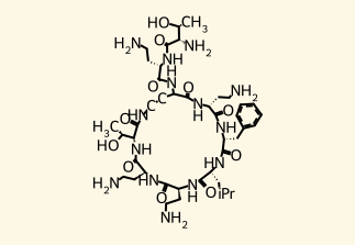 CC(C)C[C@H]1NC(=O)[C@@H](Cc2ccccc2)NC(=O)[C@@H](CCN)NC(=O)C(NC(=O)[C@H](CCN)NC(=O)[C@@H](N)[C@@H](C)O)CCNC(=O)[C@@H]([C@H](C)O)NC(=O)[C@H](CCN)NC(=O)[C@H](CCN)NC1=O